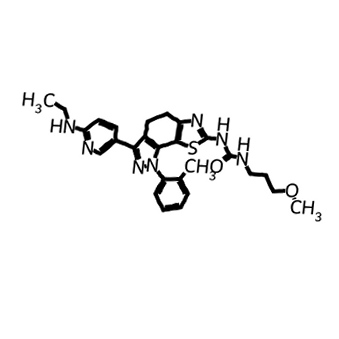 CCNc1ccc(-c2nn(-c3ccccc3C)c3c2CCc2nc(NC(=O)NCCCOC)sc2-3)cn1